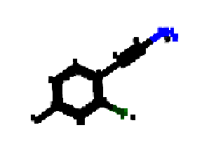 Cc1ccc(C#CN)c(F)c1